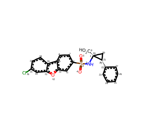 O=C(O)[C@]1(NS(=O)(=O)c2ccc3c(c2)oc2cc(Cl)ccc23)C[C@@H]1c1ccccc1